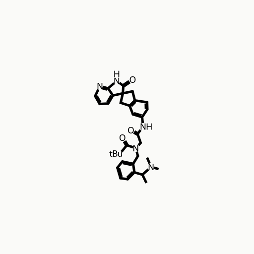 CC(c1ccccc1CN(CC(=O)Nc1ccc2c(c1)CC1(C2)C(=O)Nc2ncccc21)C(=O)C(C)(C)C)N(C)C